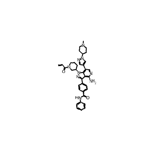 C=CC(=O)N1CCC[C@@H](n2nc(-c3ccc(C(=O)Nc4ccccc4)cc3)c3c(N)ncc(-c4cnn(C5CCN(C)CC5)c4)c32)C1